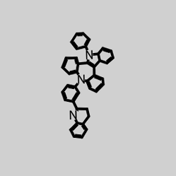 C1=CC2C3=C(c4ccccc4N(c4cccc(C5=Nc6ccccc6CC5)c4)c4ccccc43)N(c3ccccc3)C2C=C1